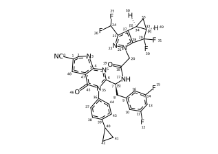 N#Cc1cnc2nc([C@H](Cc3cc(F)cc(F)c3)NC(=O)Cn3nc(C(F)F)c4c3C(F)(F)[C@@H]3C[C@H]43)n(-c3ccc(C4CC4)cc3)c(=O)c2c1